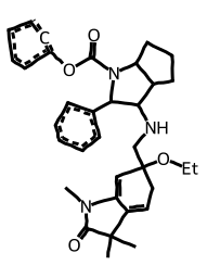 CCOC1(CNC2C3CCCC3N(C(=O)Oc3ccccc3)C2c2ccccc2)C=C2C(=CC1)C(C)(C)C(=O)N2C